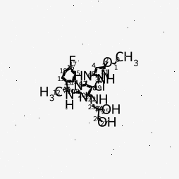 CCOc1cc(Nc2nc(N[C@@H](C)c3ccc(F)cc3)nc(NC[C@@H](O)CO)c2Cl)[nH]n1